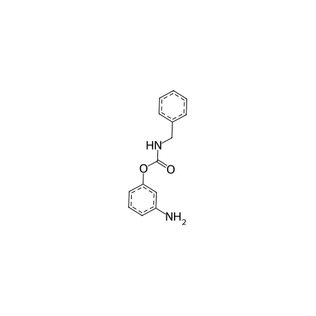 Nc1cccc(OC(=O)NCc2ccccc2)c1